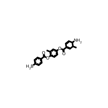 Bc1ccc(C(=O)Oc2ccc(OC(=O)C3=CC(C)C(N)C=C3)cc2C)cc1